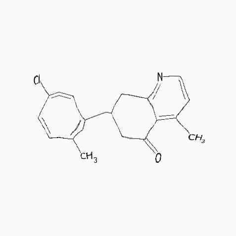 Cc1ccc(Cl)cc1C1CC(=O)c2c(C)ccnc2C1